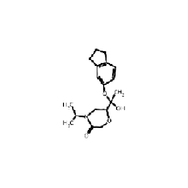 CC(C)N1CC(C(C)(O)Oc2ccc3c(c2)CCC3)OCC1=O